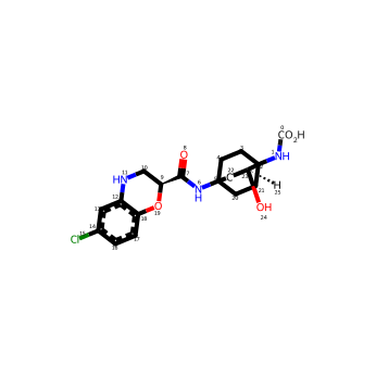 O=C(O)NC12CCC(NC(=O)[C@@H]3CNc4cc(Cl)ccc4O3)(CC1)C[C@@H]2O